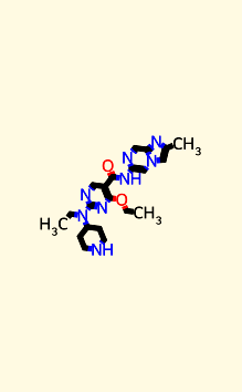 CCOc1nc(N(CC)C2CCNCC2)ncc1C(=O)Nc1cn2cc(C)nc2cn1